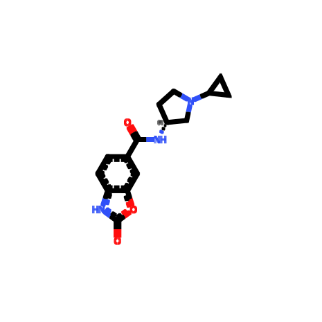 O=C(N[C@@H]1CCN(C2CC2)C1)c1ccc2[nH]c(=O)oc2c1